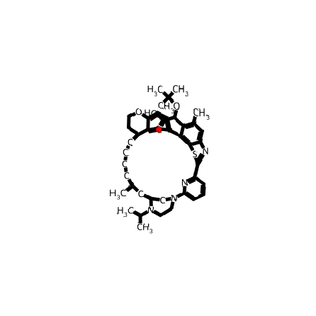 Cc1cc2nc3sc2c(c1C(OC(C)(C)C)C(=O)O)-c1ccc2c(c1)C(CCCCC(C)CC1CN(CCN1C(C)C)c1cccc-3n1)CCO2